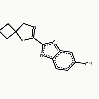 Oc1ccc2nc(C3=NCC4(CCC4)S3)sc2c1